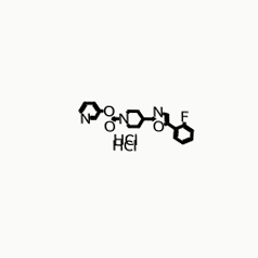 Cl.Cl.O=C(Oc1cccnc1)N1CCC(c2ncc(-c3ccccc3F)o2)CC1